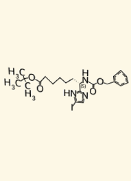 CC(C)(C)OC(=O)CCCCC[C@H](NC(=O)OCc1ccccc1)c1ncc(I)[nH]1